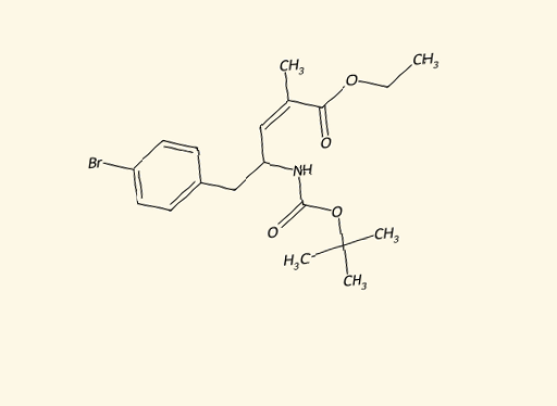 CCOC(=O)C(C)=CC(Cc1ccc(Br)cc1)NC(=O)OC(C)(C)C